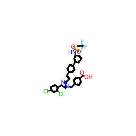 O=C(O)c1ccc(Cn2cc(-c3ccc(Cl)cc3Cl)nc2C=Cc2ccc(-c3cccc(NS(=O)(=O)CC(F)(F)F)c3)cc2)cc1